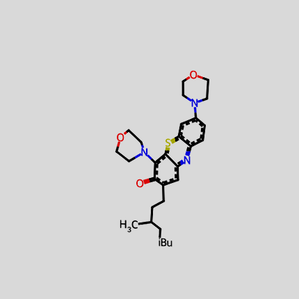 CCC(C)CC(C)CCc1cc2nc3ccc(N4CCOCC4)cc3sc-2c(N2CCOCC2)c1=O